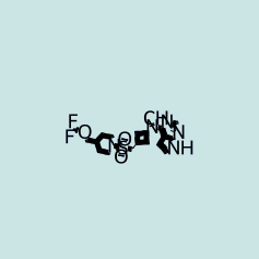 CN(c1ncnc2[nH]ccc12)[C@H]1C[C@@H](CS(=O)(=O)N2CCC(COC(F)F)CC2)C1